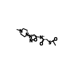 CC(=O)SCC(=O)[N-]c1c[n+](N2CCN(C)CC2)no1